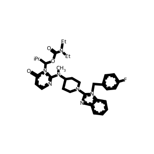 CCN(CC)C(=O)OC(C(C)C)n1c(N(C)C2CCN(c3nc4ccccc4n3Cc3ccc(F)cc3)CC2)nccc1=O